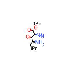 CC(C)C[C@H](N)C(=O)C(=[N+]=[N-])C(=O)OC(C)(C)C